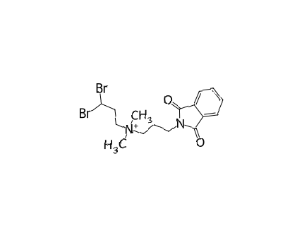 C[N+](C)(CCCN1C(=O)c2ccccc2C1=O)CCC(Br)Br